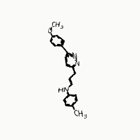 COc1ccc(-c2ccc(CCCNc3ccc(C)cc3)nn2)cc1